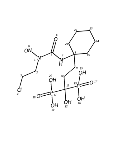 O=NN(CCCl)C(=O)NC1(CCC(O)(P(=O)(O)O)P(=O)(O)O)CCCCC1